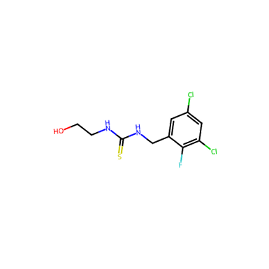 OCCNC(=S)NCc1cc(Cl)cc(Cl)c1F